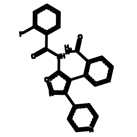 NC(=O)c1ccccc1-c1c(-c2ccncc2)noc1NC(=O)c1ccccc1F